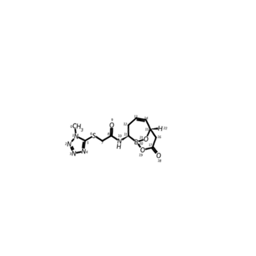 Cn1nnnc1SCC(=O)N[C@H]1CC=C[C@@H]2CC(=O)OB1O2